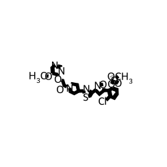 COc1cncnc1OCC(=O)N1CCC(c2nc(C3=NOC(c4c(Cl)cccc4OS(C)(=O)=O)C3)cs2)CC1